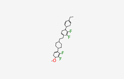 CCC1=CCC(C2CC=C(CCC3CCC(C4=CCC(OC)C(F)=C4F)CC3)C(F)=C2F)C=C1